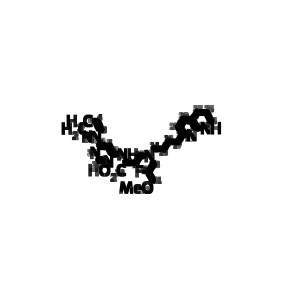 C=NN(/C=C\C)c1cc(NC(CCN(CCCCc2ccc3c(n2)NCCC3)C[C@H](F)COC)C(=O)O)ncn1